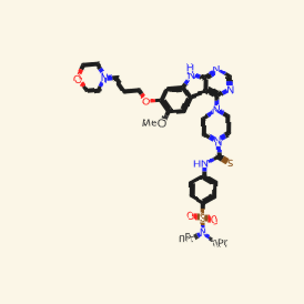 CCCN(CCC)S(=O)(=O)c1ccc(NC(=S)N2CCN(c3ncnc4[nH]c5cc(OCCCN6CCOCC6)c(OC)cc5c34)CC2)cc1